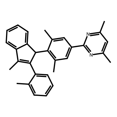 CC1=C(c2ccccc2C)C(c2c(C)cc(-c3nc(C)cc(C)n3)cc2C)c2ccccc21